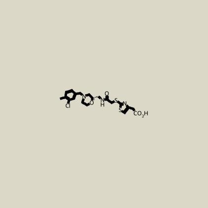 Cc1ccc(CN2CCO[C@@H](CNC(=O)CSc3nc(CC(=O)O)cs3)C2)cc1Cl